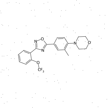 Cc1cc(-c2nc(-c3ccccc3OC(F)(F)F)no2)ccc1N1CCOCC1